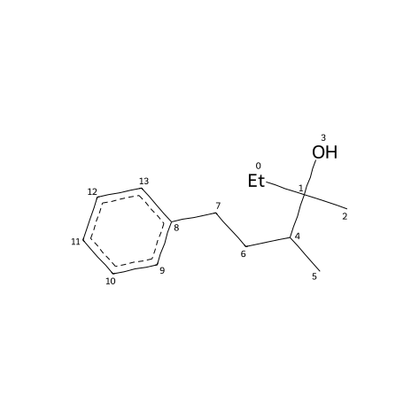 CCC(C)(O)C(C)CCc1ccccc1